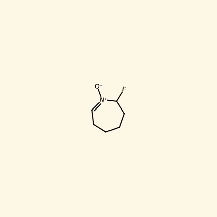 [O-][N+]1=CCCCCC1F